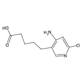 Nc1cc(Cl)ncc1CCCCC(=O)O